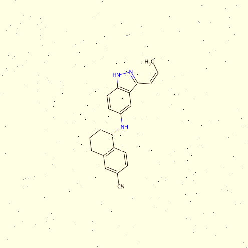 C/C=C\c1n[nH]c2ccc(N[C@H]3CCCc4cc(C#N)ccc43)cc12